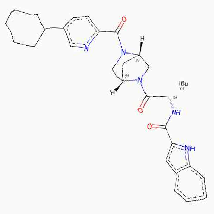 CC[C@H](C)[C@H](NC(=O)c1cc2ccccc2[nH]1)C(=O)N1C[C@@H]2C[C@H]1CN2C(=O)c1ccc(C2CCCCC2)cn1